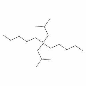 CCCCC[Si](CCCCC)(CC(C)C)CC(C)C